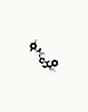 C=C/C(=C(\P)c1ccccc1)C(C)N1CC[C@@H](CNC(=C)Sc2cc(F)ccc2C)C1